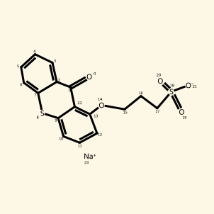 O=c1c2ccccc2sc2cccc(OCCCS(=O)(=O)[O-])c12.[Na+]